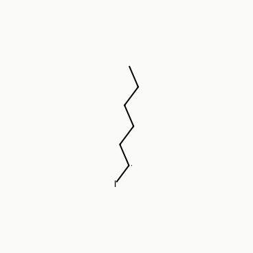 CCCCC[CH]I